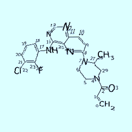 C=CC(=O)N1CCN(c2ccc3ncnc(Nc4cccc(Cl)c4F)c3n2)C(C)C1